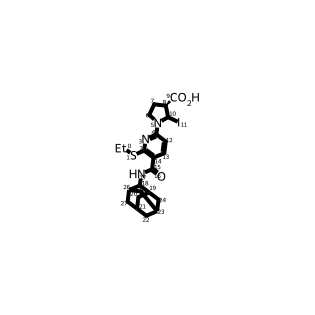 CCSc1nc(N2CC[C@@H](C(=O)O)C2I)ccc1C(=O)NC1C2CC3CC(C2)CC1C3